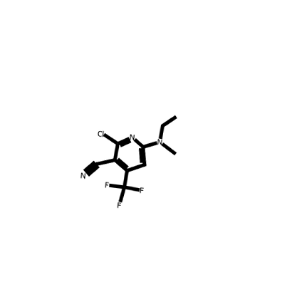 CCN(C)c1cc(C(F)(F)F)c(C#N)c(Cl)n1